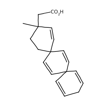 CC1(CC(=O)O)C=CC2(C=CC3(C=CCC=C3)C=C2)CC1